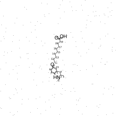 CNC(C)Cc1cccc(OCCCCCCCCCC(=O)O)c1